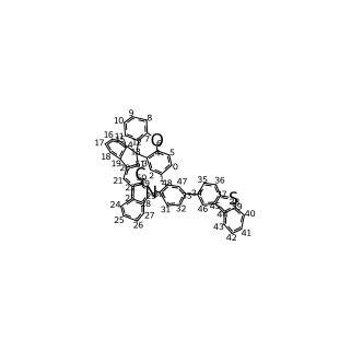 c1ccc2c(c1)Oc1ccccc1C21c2ccccc2-c2cc3c4ccccc4n(-c4ccc(-c5ccc6sc7ccccc7c6c5)cc4)c3cc21